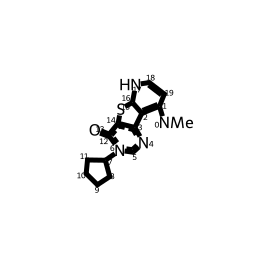 CNC1=C2c3ncn(C4CCCC4)c(=O)c3SC2NC=C1